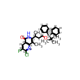 Cc1c(C(C)CCO[Si](c2ccccc2)(c2ccccc2)C(C)(C)C)[nH]c(=O)c2cc(F)c(Cl)nc12